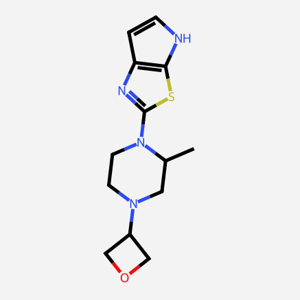 CC1CN(C2COC2)CCN1c1nc2cc[nH]c2s1